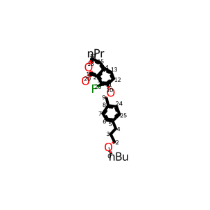 CCCCOCCCc1ccc(COc2ccc3cc(CCC)oc(=O)c3c2F)cc1